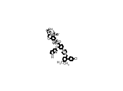 CC1(C)CCC(CN2CCN(c3ccc(C(=O)NS(=O)(=O)c4cc5c(c([N+](=O)[O-])c4)N[C@H](CS(C)(=O)=O)CO5)c(Oc4cnc5[nH]ccc5c4)c3)CC2)=C(c2ccc(Cl)cc2)C1